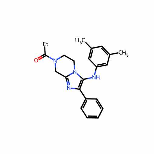 CCC(=O)N1CCn2c(nc(-c3ccccc3)c2Nc2cc(C)cc(C)c2)C1